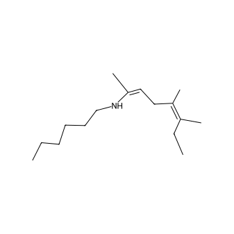 CCCCCCN/C(C)=C\C/C(C)=C(/C)CC